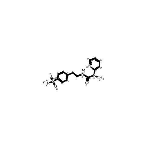 CN(C(=O)NCCc1ccc(S(N)(=O)=O)cc1)c1ccccn1